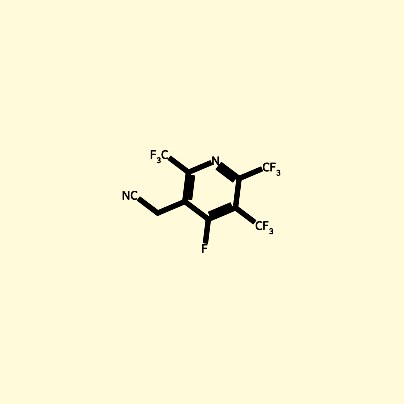 N#CCc1c(C(F)(F)F)nc(C(F)(F)F)c(C(F)(F)F)c1F